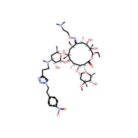 CC[C@H]1OC(=O)[C@H](C)[C@@H](O[C@H]2C[C@@](C)(OC)[C@@H](O)[C@H](C)O2)[C@H](C)[C@@H](O[C@@H]2O[C@H](C)C[C@H](N(C)CCc3cn(CCc4ccc([N+](=O)[O-])cc4)nn3)[C@H]2O)[C@](C)(O)C[C@@H](C)/C(=N\OCCN(C)C)[C@H](C)[C@@H](O)[C@]1(C)O